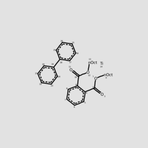 CCCCCCCCOC(=O)c1ccccc1C(=O)OCCCCCCCC.[Ti].c1ccc(-c2ccccc2)cc1